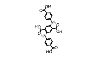 O=C(O)c1ccc(Nc2cc(C(=O)O)c(Nc3ccc(C(=O)O)cc3)cc2C(=O)O)cc1